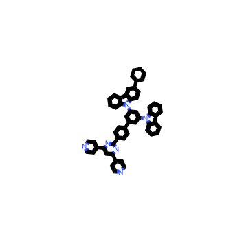 C1=CC(c2ccc3c(c2)c2ccccc2n3-c2cc(-c3ccc(-c4nc(-c5ccncc5)cc(-c5ccncc5)n4)cc3)cc(-n3c4ccccc4c4ccccc43)c2)=CCC1